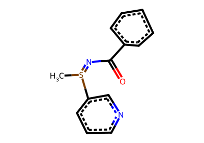 CS(=NC(=O)c1ccccc1)c1cccnc1